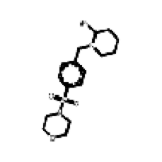 CC(C)C1CCCCN1Cc1ccc(S(=O)(=O)N2CCOCC2)cc1